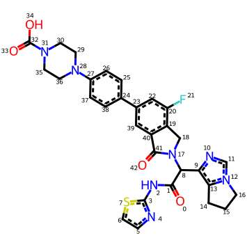 O=C(Nc1nccs1)C(c1ncn2c1CCC2)N1Cc2c(F)cc(-c3ccc(N4CCN(C(=O)O)CC4)cc3)cc2C1=O